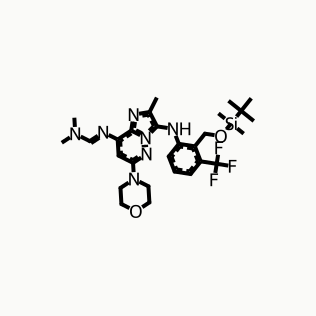 Cc1nc2c(/N=C/N(C)C)cc(N3CCOCC3)nn2c1Nc1cccc(C(F)(F)F)c1CO[Si](C)(C)C(C)(C)C